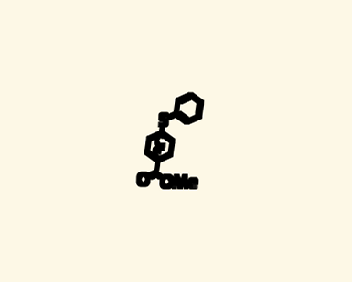 COC(=O)C12CCC(Sc3ccccc3)(CC1)CC2